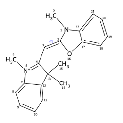 CN1/C(=C/C2=[N+](C)c3ccccc3C2(C)C)Oc2ccccc21